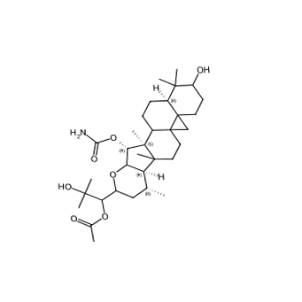 CC(=O)OC(C1C[C@@H](C)[C@H]2C(O1)[C@H](OC(N)=O)[C@@]1(C)C3CC[C@H]4C(C)(C)C(O)CCC45CC35CCC21C)C(C)(C)O